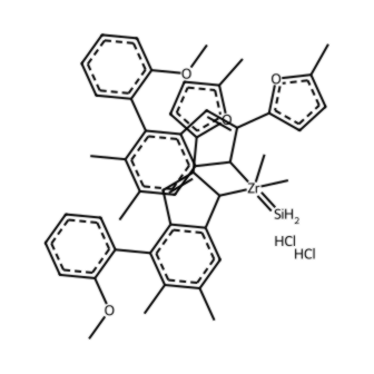 COc1ccccc1-c1c(C)c(C)cc2c1C=C(c1ccc(C)o1)[CH]2[Zr]([CH3])([CH3])(=[SiH2])[CH]1C(c2ccc(C)o2)=Cc2c1cc(C)c(C)c2-c1ccccc1OC.Cl.Cl